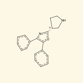 c1ccc(-c2nc([C@@H]3CCNC3)oc2-c2ccccc2)cc1